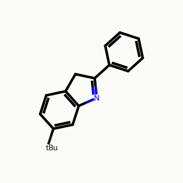 CC(C)(C)c1ccc2c(c1)N=C(c1ccccc1)C2